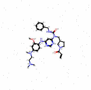 C=CC(=O)N1CCC(CN(C(=O)NCc2ccccc2)c2cc(Nc3ccc(N(C)CCN(C)C)cc3OC)ncn2)C1